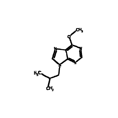 COc1ncnc2c1ncn2CC(C)C